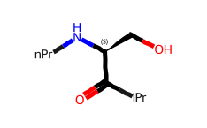 CCCN[C@@H](CO)C(=O)C(C)C